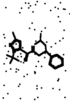 Cc1cc(C(=O)NCC(CC(C)C)c2ccccc2)n(C(C)(C)C)n1